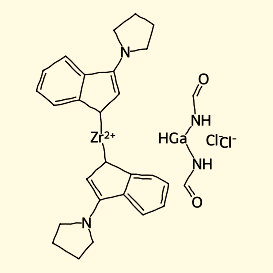 C1=C(N2CCCC2)c2ccccc2[CH]1[Zr+2][CH]1C=C(N2CCCC2)c2ccccc21.O=C[NH][GaH][NH]C=O.[Cl-].[Cl-]